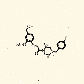 COc1cc(CO)ccc1OCC(=O)N1C[C@@H](C)N(Cc2ccc(F)cc2)C[C@@H]1C